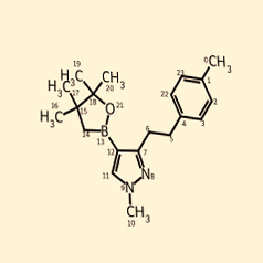 Cc1ccc(CCc2nn(C)cc2B2CC(C)(C)C(C)(C)O2)cc1